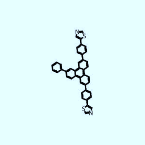 c1ccc(-c2ccc3c4cc(-c5ccc(-c6cncs6)cc5)ccc4c4ccc(-c5ccc(-c6cncs6)cc5)cc4c3c2)cc1